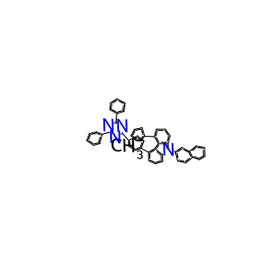 CN1C(c2ccccc2)=NC(c2ccccc2)=NC1c1ccc(-c2cccc3c2c2c(-c4ccccc4)cccc2n3-c2ccc3ccccc3c2)cc1